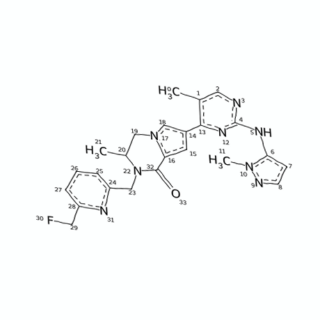 Cc1cnc(Nc2ccnn2C)nc1-c1cc2n(c1)CC(C)N(Cc1cccc(CF)n1)C2=O